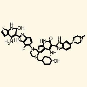 CN1CCN(c2ccc3nc(-c4c(N[C@H]5CC(CN6CCN(c7ccc8nc(C9=C(N)c%10ccsc%10NC9O)[nH]c8c7F)CC6)CC[C@H]5O)c5cscc5[nH]c4=O)[nH]c3c2)CC1